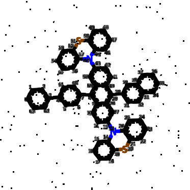 c1ccc(-c2ccc(-c3c4ccc(N5c6ccccc6Sc6ccccc65)cc4c(-c4ccc5ccccc5c4)c4ccc(N5c6ccccc6Sc6ccccc65)cc34)cc2)cc1